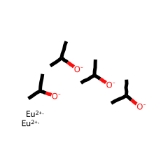 CC(C)[O-].CC(C)[O-].CC(C)[O-].CC(C)[O-].[Eu+2].[Eu+2]